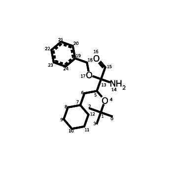 CC(C)(C)OC(CC1CCCCC1)C(N)(C=O)OCc1ccccc1